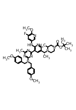 COc1ccc(CN(Cc2ccc(OC)cc2)c2nc(C)nc(-c3cc([C@@H](C)N4CCN(C(=O)OC(C)(C)C)CC4C)cnc3Nc3cnc(OC)c(F)c3)n2)cc1